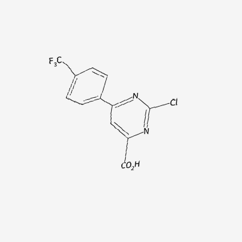 O=C(O)c1cc(-c2ccc(C(F)(F)F)cc2)nc(Cl)n1